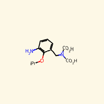 CC(C)Oc1c(N)cccc1CN(C(=O)O)C(=O)O